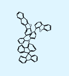 c1ccc(N(c2ccc(-c3cccc4c3oc3ccccc34)cc2)c2cccc3c2-c2ccccc2C32c3ccccc3-c3ccccc32)c(-c2ccc3oc4cc5ccccc5cc4c3c2)c1